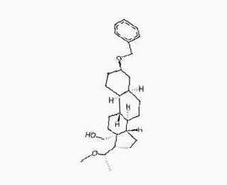 CO[C@@H](C)[C@H]1CC[C@H]2[C@@H]3CC[C@@H]4C[C@H](OCc5ccccc5)CC[C@@H]4[C@H]3CC[C@]12CO